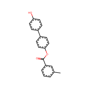 Cc1cccc(C(=O)Oc2ccc(-c3ccc(O)cc3)cc2)c1